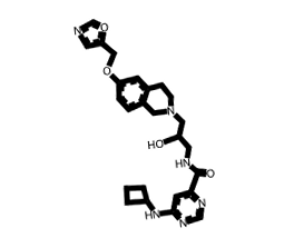 O=C(NCC(O)CN1CCc2cc(OCc3cnco3)ccc2C1)c1cc(NC2CCC2)ncn1